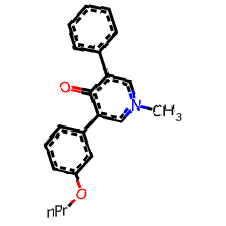 CCCOc1cccc(-c2cn(C)cc(-c3ccccc3)c2=O)c1